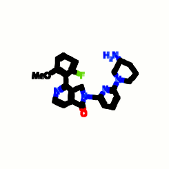 COc1cccc(F)c1-c1nccc2c1CN(c1cccc(N3CCCC(N)C3)n1)C2=O